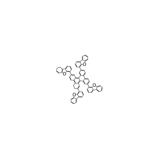 C1=Cc2oc3c(-c4ccc5c6c(c7c8cc(-c9cccc%10c9oc9ccccc9%10)ccc8c8ccc(-c9cccc%10c9oc9ccccc9%10)cc8c7c5c4)C=C(c4cccc5c4oc4ccccc45)CC6)cccc3c2CC1